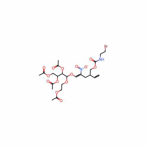 C=CC(COC(=O)NCCBr)C/C(=C/OC(OCCOC(C)=O)C(OC(C)=O)C(COC(C)=O)OC(C)=O)[N+](=O)[O-]